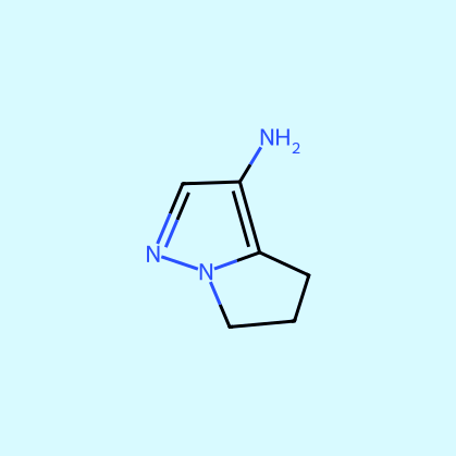 Nc1cnn2c1CCC2